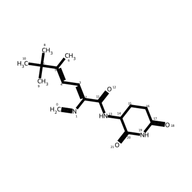 C=N/C(=C\C=C(/C)C(C)(C)C)C(=O)NC1CCC(=O)NC1=O